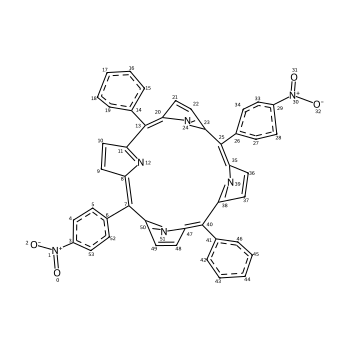 O=[N+]([O-])c1ccc(C2=C3C=CC(=N3)C(c3ccccc3)=C3C=CC(=N3)C(c3ccc([N+](=O)[O-])cc3)=C3C=CC(=N3)C(c3ccccc3)=C3C=CC2=N3)cc1